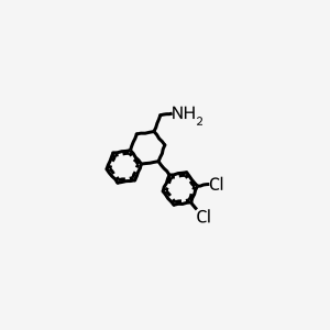 NCC1Cc2ccccc2C(c2ccc(Cl)c(Cl)c2)C1